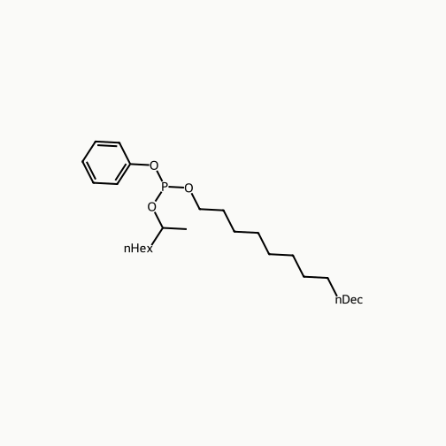 CCCCCCCCCCCCCCCCCCOP(Oc1ccccc1)OC(C)CCCCCC